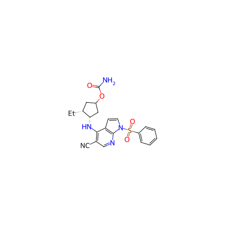 CC[C@@H]1CC(OC(N)=O)C[C@@H]1Nc1c(C#N)cnc2c1ccn2S(=O)(=O)c1ccccc1